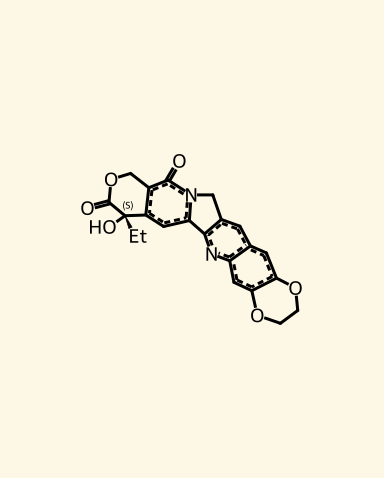 CC[C@@]1(O)C(=O)OCc2c1cc1n(c2=O)Cc2cc3cc4c(cc3nc2-1)OCCO4